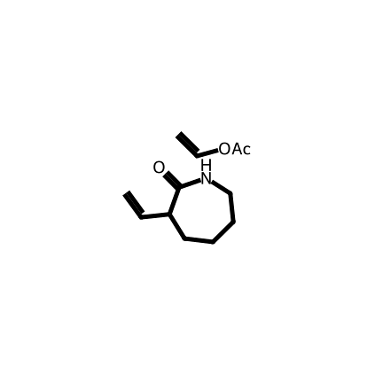 C=CC1CCCCNC1=O.C=COC(C)=O